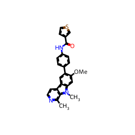 COc1cc2c(cc1-c1ccc(NC(=O)c3ccsc3)cc1)c1ccnc(C)c1n2C